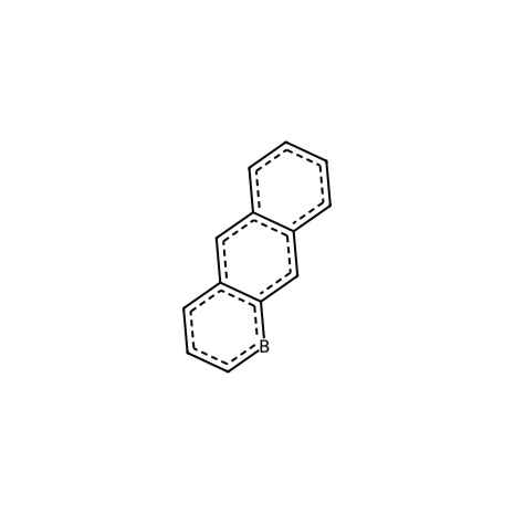 b1cccc2cc3ccccc3cc12